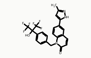 Cc1cc(-c2ccc3c(ccc(=O)n3Cc3ccc(C(O)(C(F)(F)F)C(F)(F)F)cc3)c2)[nH]n1